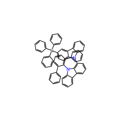 c1ccc(-c2cccc(-c3ccccc3)c2-n2c3ccccc3c3cccc(-n4c5ccccc5c5cc([Si](c6ccccc6)(c6ccccc6)c6ccccc6)ccc54)c32)cc1